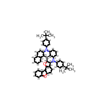 CC(C)(C)c1ccc(N2c3cccc4c3B(c3oc5c(ccc6oc7ccccc7c65)c3N4c3ccc(C(C)(C)C)cc3)c3c2ccc2ccccc32)cc1